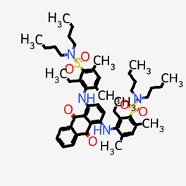 CCCCN(CCCC)S(=O)(=O)c1c(C)cc(C)c(Nc2ccc(Nc3c(C)cc(C)c(S(=O)(=O)N(CCCC)CCCC)c3CC)c3c2C(=O)c2ccccc2C3=O)c1CC